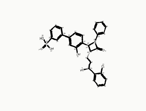 O=C1[C@H](CC[C@H](O)c2ccccc2Cl)[C@@H](c2ccc(-c3cccc(P(=O)(O)O)c3)cc2O)N1c1ccccc1